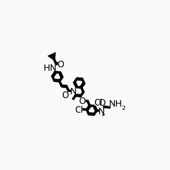 CC1=C(OCc2c(Cl)ccc(N(C)C(=O)CN)c2Cl)Cc2ccccc2N1C(=O)C=Cc1ccc(NC(=O)C2CC2)cc1